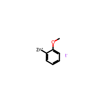 COc1cccc[c]1[Zn+].[I-]